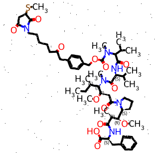 CC[C@H](C)[C@@H]([C@@H](CC(=O)N1CCC[C@H]1[C@H](OC)[C@@H](C)C(=O)N[C@@H](Cc1ccccc1)C(=O)O)OC)N(C)C(=O)[C@@H](NC(=O)C(C(C)C)N(C)C(=O)OCc1ccc(CC(=O)CCCCCN2C(=O)CC(SC)C2=O)cc1)C(C)C